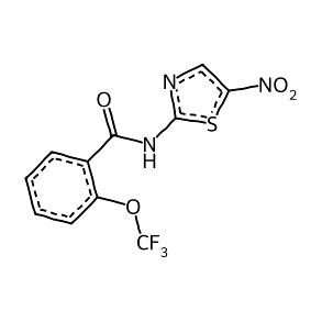 O=C(Nc1ncc([N+](=O)[O-])s1)c1ccccc1OC(F)(F)F